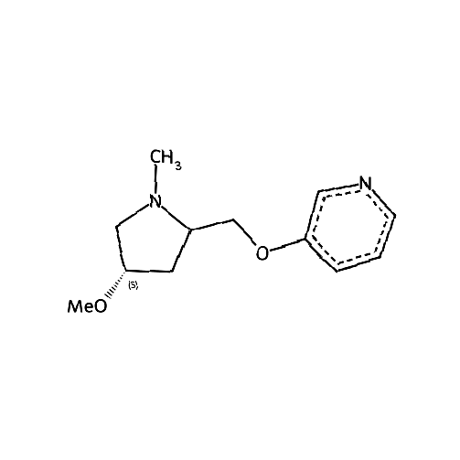 CO[C@H]1CC(COc2cccnc2)N(C)C1